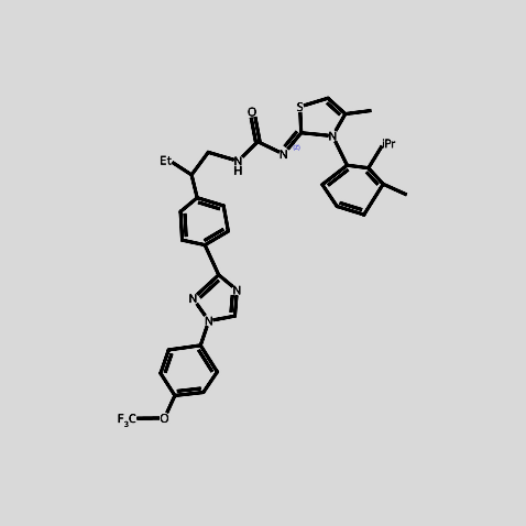 CCC(CNC(=O)/N=c1\scc(C)n1-c1cccc(C)c1C(C)C)c1ccc(-c2ncn(-c3ccc(OC(F)(F)F)cc3)n2)cc1